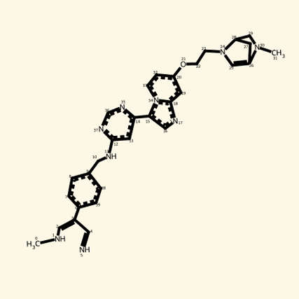 CN/C=C(\C=N)c1ccc(CNc2cc(-c3cnc4cc(OCCN5C=C6CC5CN6C)ccn34)ncn2)cc1